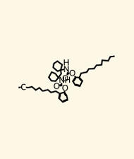 CCCCCCCCCCc1ccccc1OC(=O)NC1(CC2(NC(=O)Oc3ccccc3CCCCCCCCCC)CCCCC2)CCCCC1